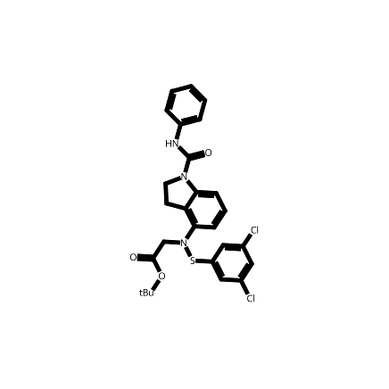 CC(C)(C)OC(=O)CN(Sc1cc(Cl)cc(Cl)c1)c1cccc2c1CCN2C(=O)Nc1ccccc1